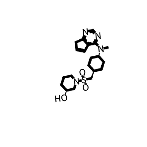 CN(c1ncnc2c1C=CC2)[C@H]1CC[C@H](CS(=O)(=O)N2CCC[C@@H](O)C2)CC1